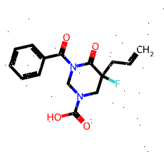 C=CCC1(F)CN(C(=O)O)CN(C(=O)c2ccccc2)C1=O